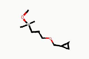 CO[Si](C)(C)CCCOCC1CC1